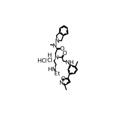 CCNCCN(CC(=O)N(C)N1Cc2ccccc2C1)C(=O)CNc1cc(-c2cc(C)no2)ccc1C.Cl.Cl